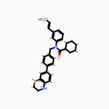 O=C(O)/C=C/c1cccc(N(Cc2ccc(-c3ccc4c(c3)SCCN4)cc2)C(=O)C2CCCCC2)c1